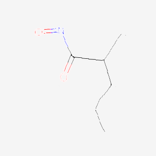 CCCC(C)C(=O)N=O